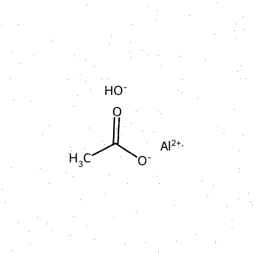 CC(=O)[O-].[Al+2].[OH-]